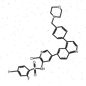 O=S(=O)(Nc1cc(-c2ccc3nccc(-c4ccc(CN5CCOCC5)cc4)c3c2)cnc1Cl)c1ccc(F)cc1F